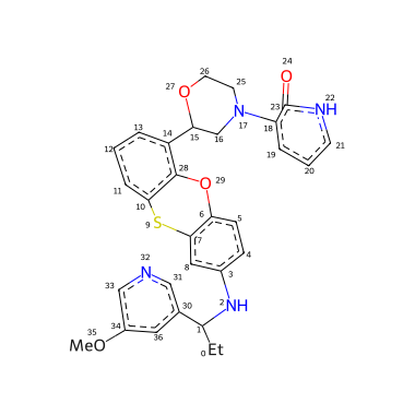 CCC(Nc1ccc2c(c1)Sc1cccc(C3CN(c4ccc[nH]c4=O)CCO3)c1O2)c1cncc(OC)c1